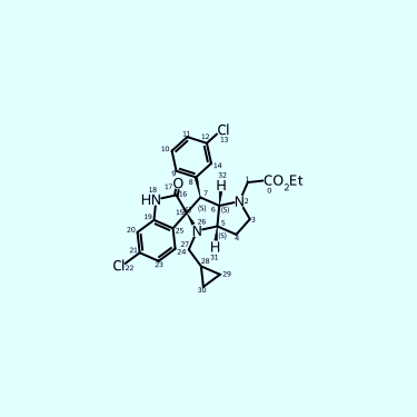 CCOC(=O)CN1CC[C@H]2[C@@H]1[C@H](c1cccc(Cl)c1)[C@]1(C(=O)Nc3cc(Cl)ccc31)N2CC1CC1